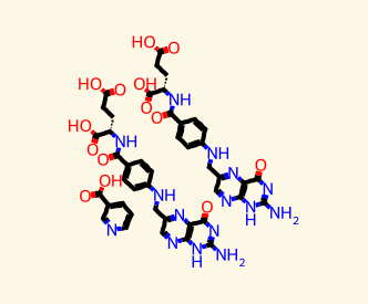 Nc1nc(=O)c2nc(CNc3ccc(C(=O)N[C@@H](CCC(=O)O)C(=O)O)cc3)cnc2[nH]1.Nc1nc(=O)c2nc(CNc3ccc(C(=O)N[C@@H](CCC(=O)O)C(=O)O)cc3)cnc2[nH]1.O=C(O)c1cccnc1